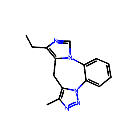 CCc1ncn2c1Cc1c(C)nnn1-c1ccccc1-2